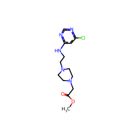 COC(=O)CN1CCN(CCNc2cc(Cl)ncn2)CC1